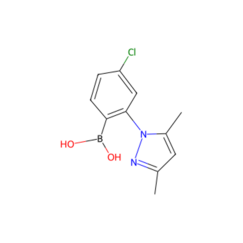 Cc1cc(C)n(-c2cc(Cl)ccc2B(O)O)n1